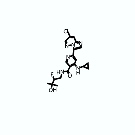 CC(C)(O)C(F)CNC(=O)c1cnc(-c2cnc3cc(Cl)cnn23)cc1NC1CC1